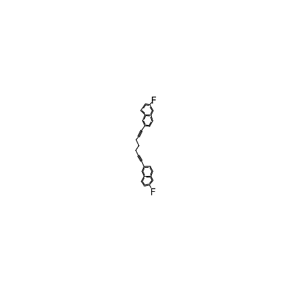 Fc1ccc2cc(C#CCCCC#Cc3ccc4cc(F)ccc4c3)ccc2c1